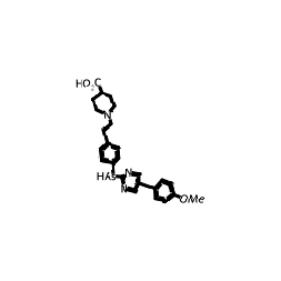 COc1ccc(-c2cnc([AsH]c3ccc(CCN4CCC(C(=O)O)CC4)cc3)nc2)cc1